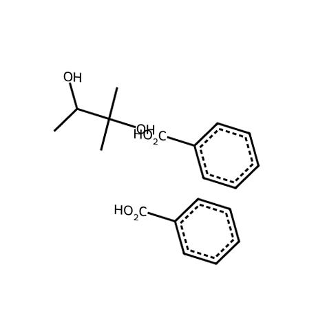 CC(O)C(C)(C)O.O=C(O)c1ccccc1.O=C(O)c1ccccc1